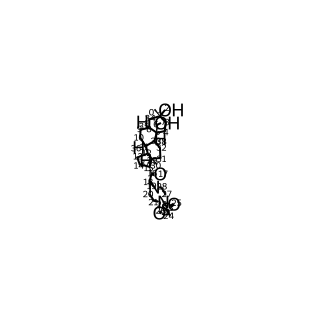 C[C@@]1(O)CC[C@@]2(CO)[C@@H](CC[C@H]3[C@@H]4CC[C@H](C(=O)CN5CCN(S(C)(=O)=O)CC5)[C@@]4(C)CC[C@@H]32)C1